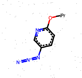 CC(C)Oc1ccc(N=[N+]=[N-])cn1